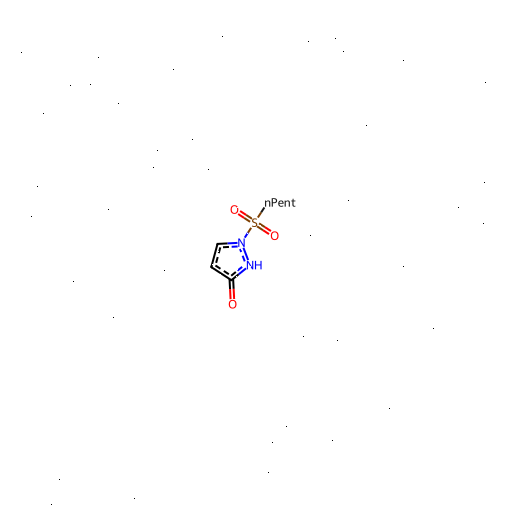 CCCCCS(=O)(=O)n1ccc(=O)[nH]1